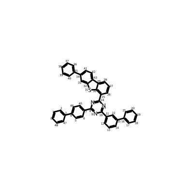 c1ccc(-c2ccc(-c3nc(-c4cccc(-c5ccccc5)c4)nc(-c4cccc5c4sc4cc(-c6ccccc6)ccc45)n3)cc2)cc1